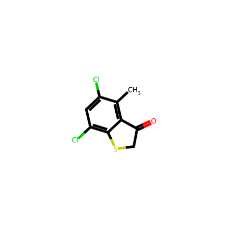 Cc1c(Cl)cc(Cl)c2c1C(=O)CS2